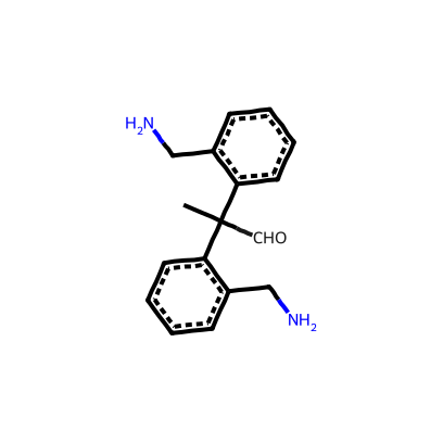 CC(C=O)(c1ccccc1CN)c1ccccc1CN